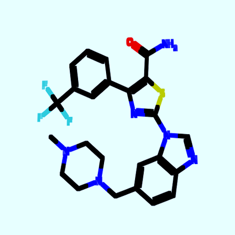 CN1CCN(Cc2ccc3ncn(-c4nc(-c5cccc(C(F)(F)F)c5)c(C(N)=O)s4)c3c2)CC1